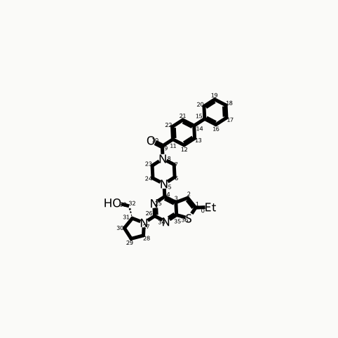 CCc1cc2c(N3CCN(C(=O)c4ccc(-c5ccccc5)cc4)CC3)nc(N3CCC[C@@H]3CO)nc2s1